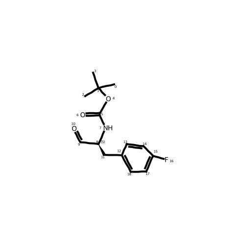 CC(C)(C)OC(=O)N[C@H](C=O)Cc1ccc(F)cc1